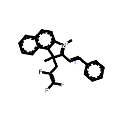 C[N+]1=C(/C=C/c2ccccc2)C(C)(CC(F)=C(F)F)c2c1ccc1ccccc21